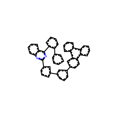 c1ccc(-c2ccccc2-c2nc(-c3cccc(-c4cccc(-c5ccc6c7ccccc7c7ccccc7c6c5)c4)c3)nc3ccccc23)cc1